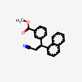 COC(=O)c1cccc(C(=CC#N)c2cccc3ccccc23)c1